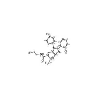 O=C(NCCF)c1cc2c(-c3ccc(Cl)cc3)n(-c3ccccc3Cl)nc2nc1C(F)(F)F